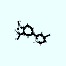 Cc1ccnc(-c2ccc3c(c2)c(C)nn3C)c1